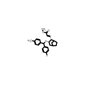 COC(=O)/C=C/[C@@H]1C2CCC(C2)C[C@@H]1OC(c1ccc(C)cc1)c1ccc(F)cc1